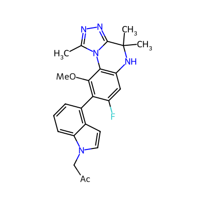 COc1c(-c2cccc3c2ccn3CC(C)=O)c(F)cc2c1-n1c(C)nnc1C(C)(C)N2